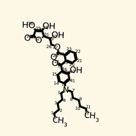 CCCCCCN(CCCCCC)c1ccc(C(=O)c2ccccc2C(=O)OC[C@@H](O)[C@H]2OC(=O)C(O)=C2O)c(O)c1